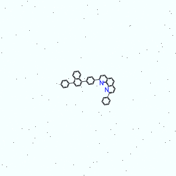 c1ccc(-c2ccc3ccc4ccc(-c5ccc(-c6ccc(-c7ccccc7)c7ccccc67)cc5)nc4c3n2)cc1